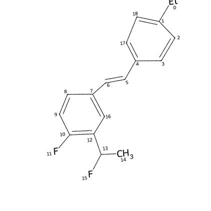 CCc1ccc(/C=C/c2ccc(F)c(C(C)F)c2)cc1